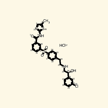 Cc1cnc(NC(=O)c2cccc(S(=O)(=O)c3ccc(CCNC[C@@H](O)c4cccc(Cl)c4)cc3)c2)s1.Cl